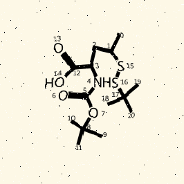 CC(CC(NC(=O)OC(C)(C)C)C(=O)O)SSC(C)(C)C